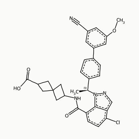 COc1cc(C#N)cc(-c2ccc([C@H](C)n3ncc4c(Cl)ccc(C(=O)NC5CC6(C5)CC(C(=O)O)C6)c43)cc2)c1